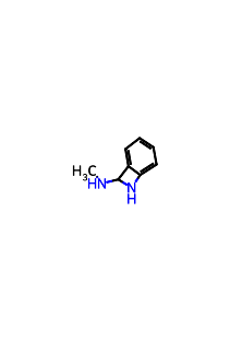 CNC1Nc2ccccc21